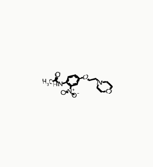 CC(=O)Nc1ccc(OCCN2CCOCC2)cc1[N+](=O)[O-]